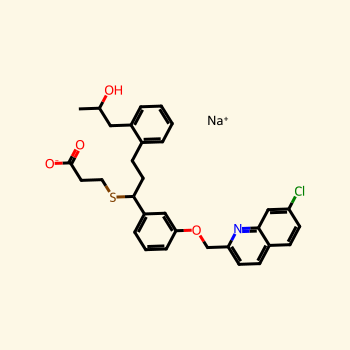 CC(O)Cc1ccccc1CCC(SCCC(=O)[O-])c1cccc(OCc2ccc3ccc(Cl)cc3n2)c1.[Na+]